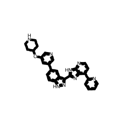 c1ccc(-c2ccnc3[nH]c(-c4n[nH]c5ccc(-c6cncc(OC7CCNCC7)c6)cc45)nc23)nc1